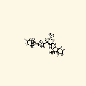 CC(C)CCC(Cc1c[nH]c2ccccc12)NC(=O)c1cnc(N2CC3CCC(C2)N3C)o1